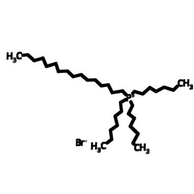 CCCCCCCCCCCCCCCC[P+](CCCCCCC)(CCCCCCC)CCCCCCC.[Br-]